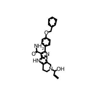 C=CC(O)N1CCc2[nH]c3c(C(N)=O)c(-c4ccc(OCc5ccccc5)cc4)nn3c2C1